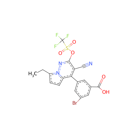 CCc1ccc2c(-c3cc(Br)cc(C(=O)O)c3)c(C#N)c(OS(=O)(=O)C(F)(F)F)nn12